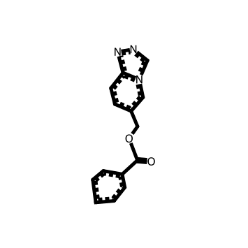 O=C(OCc1ccc2nncn2c1)c1ccccc1